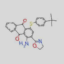 CC(C)(C)c1ccc(Sc2cc(C3=NCCO3)c(N)c3c2C(=O)c2ccccc2C3=O)cc1